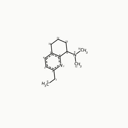 CCc1ccc2c(n1)C(N(C)C)CCC2